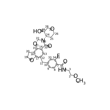 COCCNC(=O)c1ccc(Cc2cc3c(c4c2OCC4)OCN([C@H]2CCOC[C@@H]2O)C3=O)cc1F